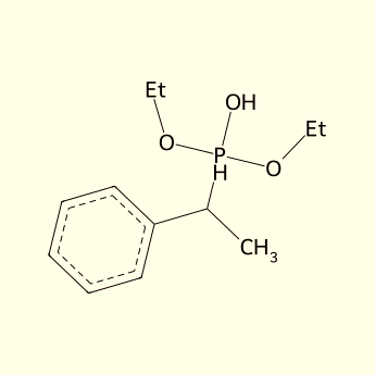 CCO[PH](O)(OCC)C(C)c1ccccc1